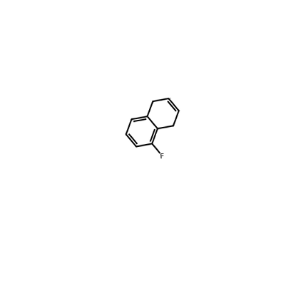 Fc1cccc2c1CC=[C]C2